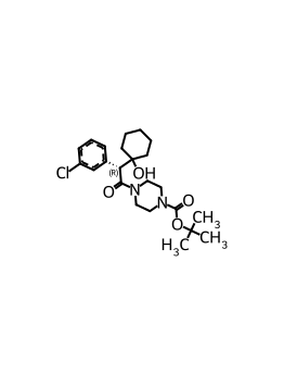 CC(C)(C)OC(=O)N1CCN(C(=O)[C@H](c2cccc(Cl)c2)C2(O)CCCCC2)CC1